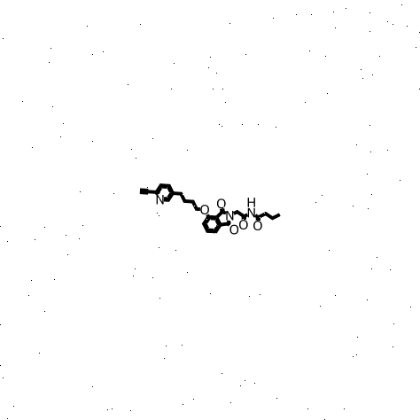 C#Cc1ccc(CCCCOc2cccc3c2C(=O)N(CC(=O)NC(=O)CCC)C3=O)cn1